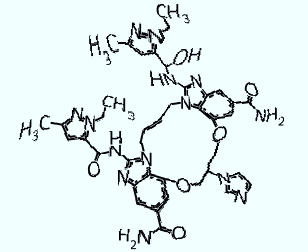 CCn1nc(C)cc1C(=O)Nc1nc2cc(C(N)=O)cc3c2n1C/C=C/Cn1c(NC(O)c2cc(C)nn2CC)nc2cc(C(N)=O)cc(c21)OCC(n1ccnc1)CO3